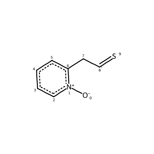 [O-][n+]1ccccc1C[C]=S